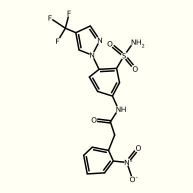 NS(=O)(=O)c1cc(NC(=O)Cc2ccccc2[N+](=O)[O-])ccc1-n1cc(C(F)(F)F)cn1